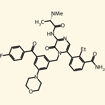 CCc1c(C(N)=O)cccc1-c1cnc(NC(=O)[C@H](C)NC)c(=O)n1Cc1cc(C(=O)c2ccc(F)cc2)cc(N2CCOCC2)c1